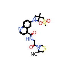 CC1(CS(C)(=O)=O)CN(c2ccc3nccc(C(=O)NCC(=O)N4CSC[C@H]4C#N)c3c2)C1